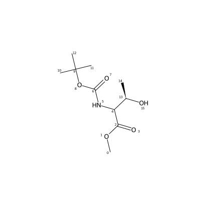 COC(=O)C(NC(=O)OC(C)(C)C)[C@@H](C)O